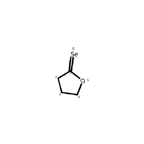 [Se]=C1CCCO1